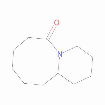 O=C1CCCCCC2CCCCN12